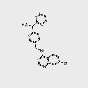 NC(c1ccc(CNc2ccnc3cc(Cl)ccc23)cc1)c1nccnn1